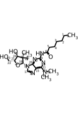 CCCCCCC(=O)Nc1nc(N(C)C)c2ncn([C@@H]3O[C@H](CO)[C@@H](O)[C@@]3(C)F)c2n1